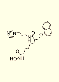 O=C(C/C=C/CCC(COc1cccc2ccccc12)C(=O)NCCCn1ccnc1)NO